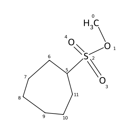 COS(=O)(=O)C1CCCCCC1